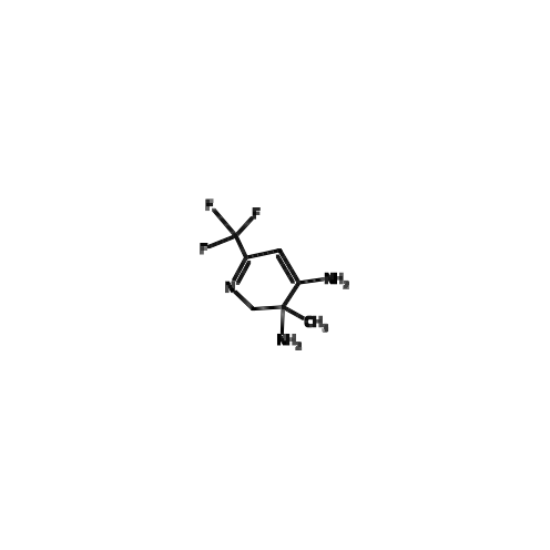 CC1(N)CN=C(C(F)(F)F)C=C1N